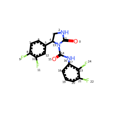 O=C1NCC(c2ccc(F)c(F)c2)N1C(=O)Nc1cccc(F)c1F